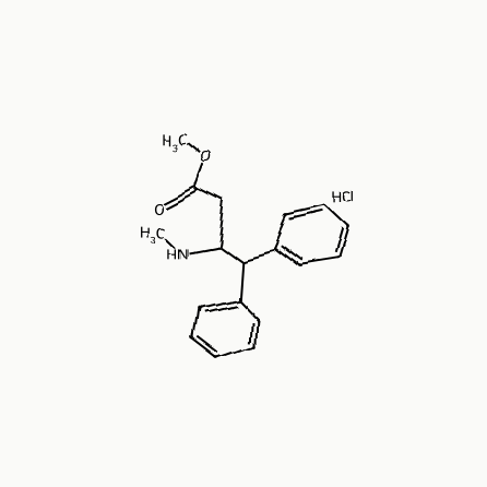 CNC(CC(=O)OC)C(c1ccccc1)c1ccccc1.Cl